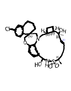 C[C@@H]1CC/C=C/[C@](C)(O)[C@@H]2CC[C@H]2CN2C[C@@]3(CCCc4cc(Cl)ccc43)COc3ccc(cc32)C(O)NS1(=O)=O